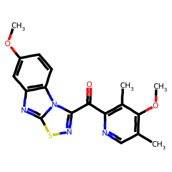 COc1ccc2c(c1)nc1snc(C(=O)c3ncc(C)c(OC)c3C)n12